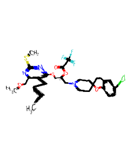 CCCCc1c(COC)nc(SC)nc1OC[C@H](CN1CCC2(CC1)Cc1cc(Cl)ccc1O2)OC(=O)C(F)(F)F